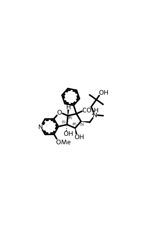 COc1cncc2c1[C@]1(O)[C@H](O)[C@H](CN(C)CC(C)(C)O)C(C(=O)O)(c3ccccc3)[C@H]1O2